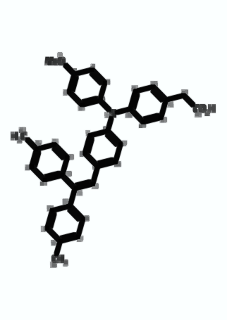 COc1ccc(N(c2ccc(C=C(c3ccc(C)cc3)c3ccc(C)cc3)cc2)c2ccc(CC(=O)O)cc2)cc1